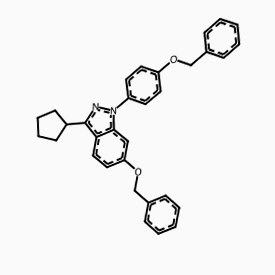 c1ccc(COc2ccc(-n3nc(C4CCCC4)c4ccc(OCc5ccccc5)cc43)cc2)cc1